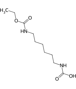 CCOC(=O)NCCCCCCNC(=O)O